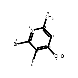 Cc1cc(C=O)c(F)c(Br)n1